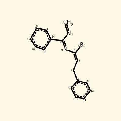 C=N/C(=N\C(Br)=C/Cc1ccccc1)c1ccccc1